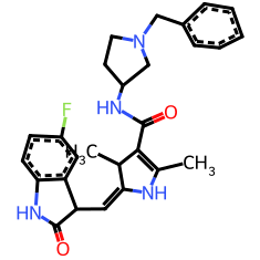 CC1=C(C(=O)NC2CCN(Cc3ccccc3)C2)C(C)C(=CC2C(=O)Nc3ccc(F)cc32)N1